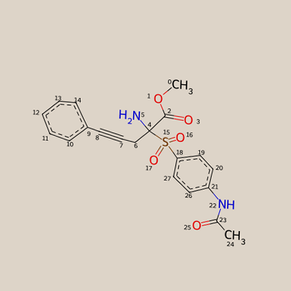 COC(=O)C(N)(CC#Cc1ccccc1)S(=O)(=O)c1ccc(NC(C)=O)cc1